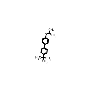 CC(C)Sc1ccc(-c2ccc(C(C)(C)C)cc2)cc1